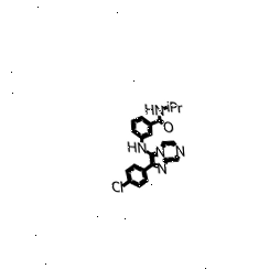 CC(C)NC(=O)c1cccc(Nc2c(-c3ccc(Cl)cc3)nc3cnccn23)c1